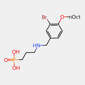 CCCCCCCCOc1ccc(CNCCCP(=O)(O)O)cc1Br